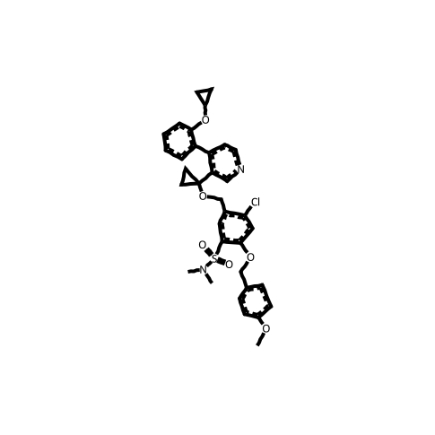 COc1ccc(COc2cc(Cl)c(COC3(c4cnccc4-c4ccccc4OC4CC4)CC3)cc2S(=O)(=O)N(C)C)cc1